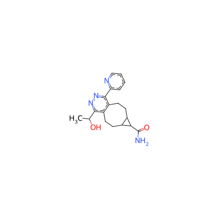 CC(O)c1nnc(-c2ccccn2)c2c1CCC1C(CC2)C1C(N)=O